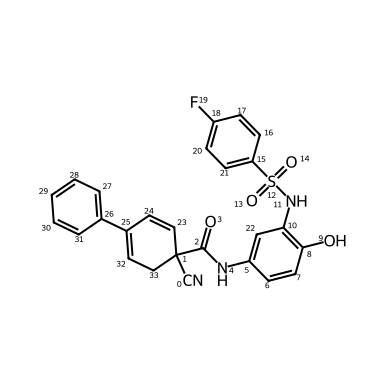 N#CC1(C(=O)Nc2ccc(O)c(NS(=O)(=O)c3ccc(F)cc3)c2)C=CC(c2ccccc2)=CC1